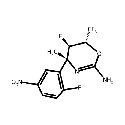 C[C@]1(c2cc([N+](=O)[O-])ccc2F)N=C(N)O[C@@H](C(F)(F)F)[C@@H]1F